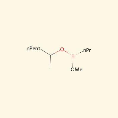 CCCCCC(C)OB(CCC)OC